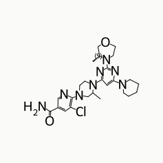 CC1CN(c2ncc(C(N)=O)cc2Cl)CCN1c1cc(N2CCCCC2)nc(N2CCOC[C@@H]2C)n1